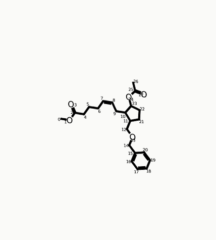 COC(=O)CCC/C=C\CC1C(COCc2ccccc2)CCC1OC(C)=O